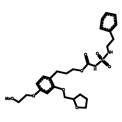 COCCOc1ccc(CCCOC(=O)NS(=O)(=O)NCCc2ccccc2)c(OCC2CCCO2)c1